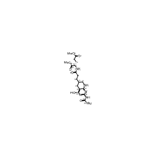 COC(=O)CC[C@H](NC(=O)CCC1CNc2nc(NC(=O)C(C)(C)C)nc(O)c2C1)C(=O)OC